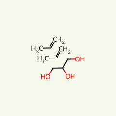 C=CC.C=CC.OCC(O)CO